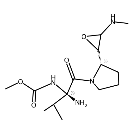 CNC1OC1[C@@H]1CCCN1C(=O)[C@@](N)(NC(=O)OC)C(C)C